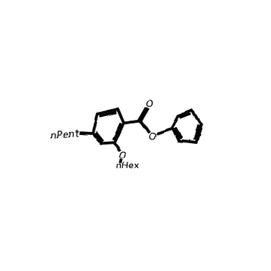 CCCCCCOc1cc(CCCCC)ccc1C(=O)Oc1ccccc1